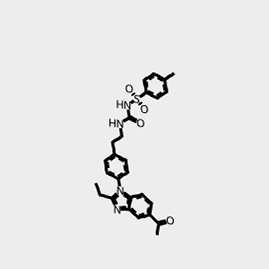 CCc1nc2cc(C(C)=O)ccc2n1-c1ccc(CCNC(=O)NS(=O)(=O)c2ccc(C)cc2)cc1